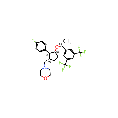 C[C@@H](O[C@H]1CC[C@H](CN2CCOCC2)[C@H]1c1ccc(F)cc1)c1cc(C(F)(F)F)cc(C(F)(F)F)c1